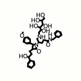 COc1ccc(C2C(CCC(O)c3ccccc3)C(=O)N2C(CCC(=O)NCc2ccccc2)CNCC(O)C(O)C(O)C(O)CO)cc1